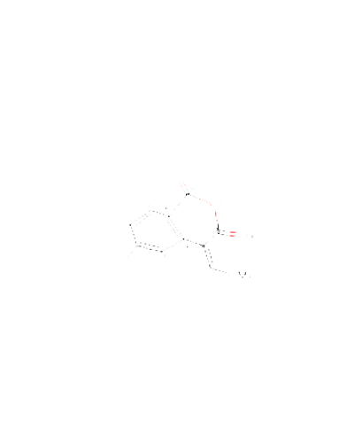 COC=C1C(=O)OC(=O)c2ccc(F)cc21